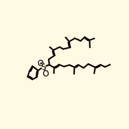 CC/C=C(\C)CC/C=C(\C)CC/C=C(\C)C(C/C=C(\C)CC/C=C(\C)CCC=C(C)C)S(=O)(=O)c1ccccc1